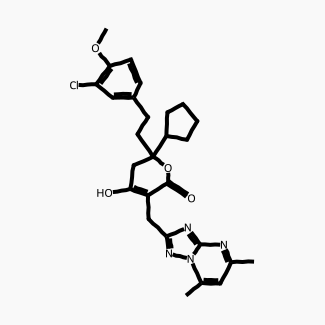 COc1ccc(CCC2(C3CCCC3)CC(O)=C(Cc3nc4nc(C)cc(C)n4n3)C(=O)O2)cc1Cl